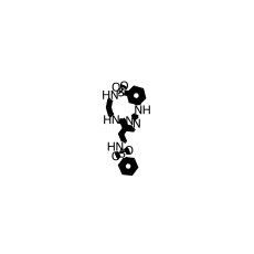 O=S1(=O)NCCCNc2nc(ncc2CCNS(=O)(=O)c2ccccc2)Nc2cccc1c2